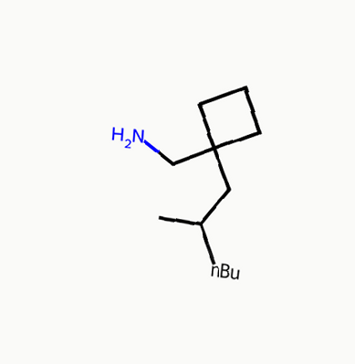 CCCCC(C)CC1(CN)CCC1